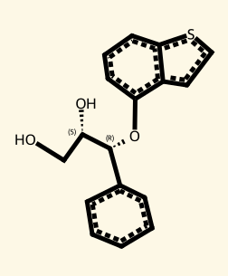 OC[C@H](O)[C@H](Oc1cccc2sccc12)c1ccccc1